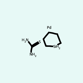 C1CC[SiH2]CC1.NC(N)=S.[Pd]